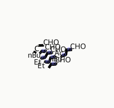 C/C=C/C=O.C=C=CCC=O.CC/C=C/C=C/C(C)=O.CC/C=C/C=C/C=O.CCCC/C=C/C=C/C=O.CCCC/C=C/C=O